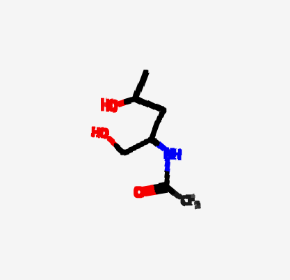 CC(O)CC(CO)NC(=O)C(F)(F)F